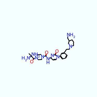 CC(N)(N)C(=O)N1CCN(C(=O)Nc2ccn(-c3cccc(CCN4CCCC(CN)C4)c3)c(=O)n2)CC1